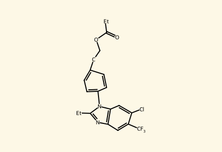 CCC(=O)OCCc1ccc(-n2c(CC)nc3cc(C(F)(F)F)c(Cl)cc32)cc1